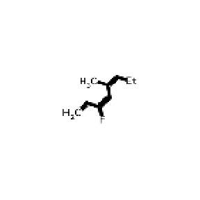 C=C/C(F)=C\C(C)=C/CC